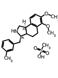 COc1ccc2c(c1OC)CCC1[C@@H](Cc3cccc(C)c3)NC[C@@H]21.CS(=O)(=O)O